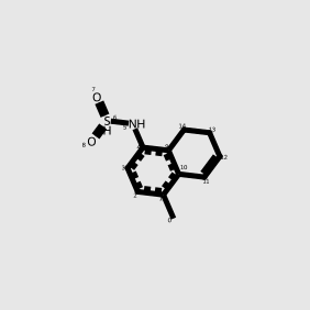 Cc1ccc(N[SH](=O)=O)c2c1C=CCC2